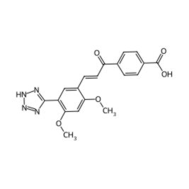 COc1cc(OC)c(-c2nn[nH]n2)cc1C=CC(=O)c1ccc(C(=O)O)cc1